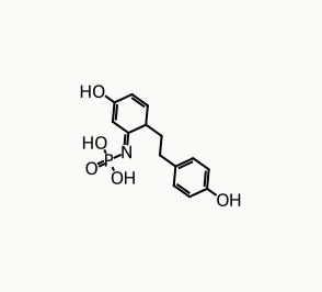 O=P(O)(O)N=C1C=C(O)C=CC1CCc1ccc(O)cc1